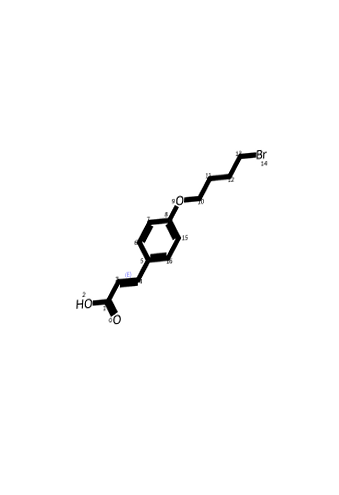 O=C(O)/C=C/c1ccc(OCCCCBr)cc1